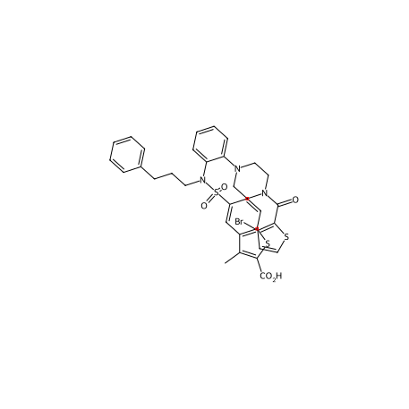 Cc1c(C(=O)O)sc2ccc(S(=O)(=O)N(CCCc3ccccc3)c3ccccc3N3CCN(C(=O)c4sccc4Br)CC3)cc12